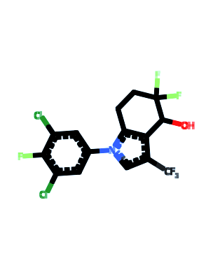 OC1c2c(C(F)(F)F)cn(-c3cc(Cl)c(F)c(Cl)c3)c2CCC1(F)F